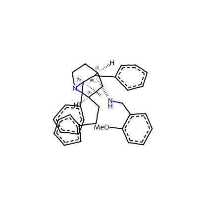 COc1ccccc1CN[C@@]1(c2ccccc2)[C@H]2CCN([C@H](CCc3ccccc3)C2)[C@]1(C)c1ccccc1